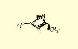 [CH2]c1ncn(C)n1